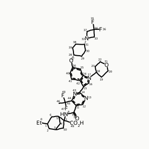 CCC1CC2CC(C1)C(NC(=O)c1cnc(-c3cn(C4CCOCC4)c4cc(O[C@H]5CC[C@@H](N6CC(F)(F)C6)CC5)ccc34)nc1C(C)(F)F)(C(=O)O)C2